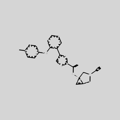 N#CN1CC2=C[C@]2(NC(=O)c2ncc(-c3ccccc3Nc3ccc(F)cc3)s2)C1